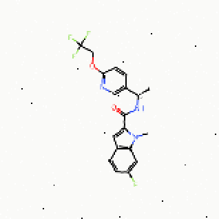 C[C@@H](NC(=O)c1cc2ccc(F)cc2n1C)c1ccc(OCC(F)(F)F)nc1